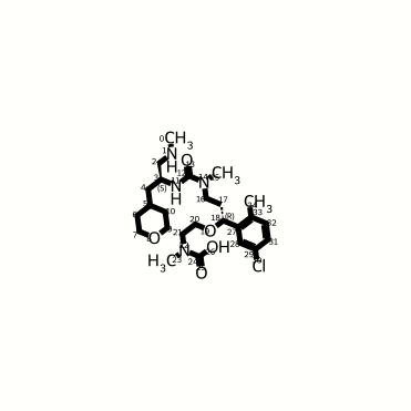 CNC[C@H](CC1CCOCC1)NC(=O)N(C)CC[C@@H](OCCN(C)C(=O)O)c1cc(Cl)ccc1C